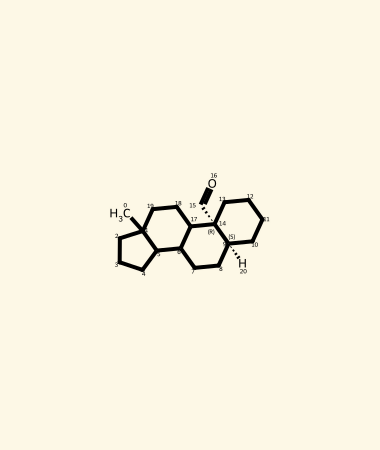 CC12CCCC1C1CC[C@@H]3CCCC[C@]3(C=O)C1CC2